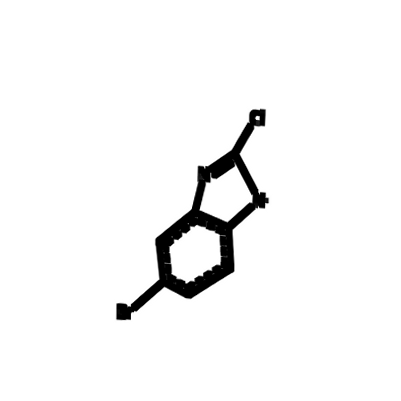 ClC1=Nc2cc(Br)ccc2[N]1